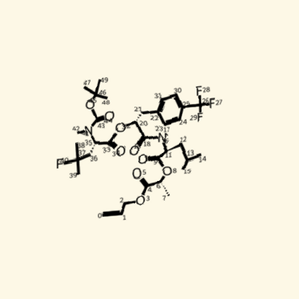 C=CCOC(=O)[C@@H](C)OC(=O)[C@H](CC(C)C)N(C)C(=O)[C@@H](Cc1ccc(C(F)(F)F)cc1)OC(=O)[C@H](CC(C)(C)F)N(C)C(=O)OC(C)(C)C